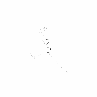 C=C(C)C(=O)OCCCc1cc(-c2cc(C)c(OCC(C)(CO)CO)c(C)c2)ccc1OCCCCCCCCCC